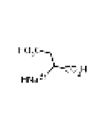 O=C(O)CC(Br)C(=O)O.[NaH]